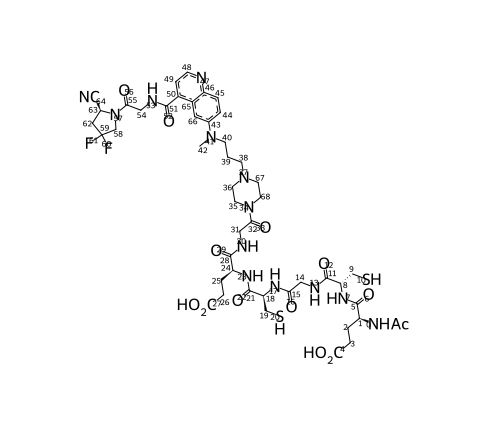 CC(=O)N[C@@H](CCC(=O)O)C(=O)N[C@@H](CS)C(=O)NCC(=O)N[C@@H](CS)C(=O)N[C@@H](CCC(=O)O)C(=O)NCC(=O)N1CCN(CCCN(C)c2ccc3nccc(C(=O)NCC(=O)N4CC(F)(F)C[C@H]4C#N)c3c2)CC1